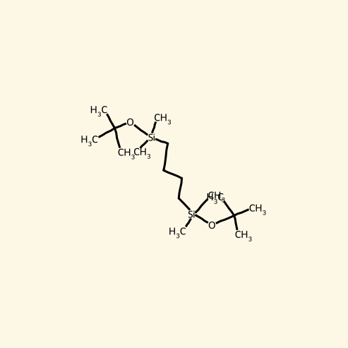 CC(C)(C)O[Si](C)(C)CCCC[Si](C)(C)OC(C)(C)C